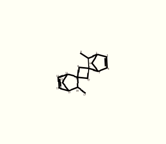 CC1C2C=CC(C2)C12CC1(C2)C2C=CC(C2)C1C